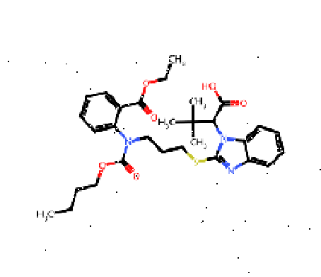 CCCCOC(=O)N(CCCSc1nc2ccccc2n1C(C(=O)O)C(C)(C)C)c1ccccc1C(=O)OCC